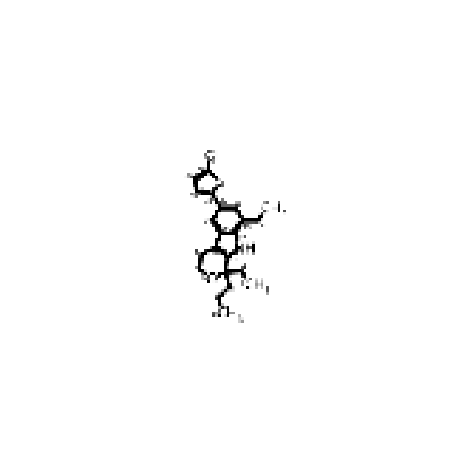 CCCC1(CC)OCCc2c1[nH]c1c(CC)cc(-c3ccc(Cl)s3)cc21